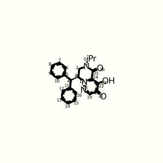 CC(C)N1C[C@H](C(c2ccccc2)c2ccccc2)n2ncc(=O)c(O)c2C1=O